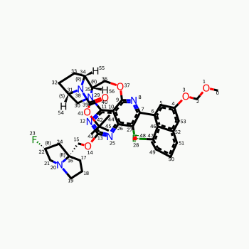 COCOc1cc(-c2nc3c4c(nc(OC[C@]56CCCN5C[C@H](F)C6)nc4c2F)N2C[C@@H]4CC[C@H]([C@@H]2CO3)N4C(=O)OC(C)(C)C)c2c(F)cccc2c1